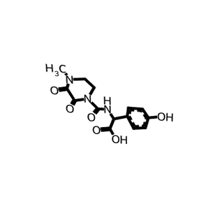 CN1CCN(C(=O)NC(C(=O)O)c2ccc(O)cc2)C(=O)C1=O